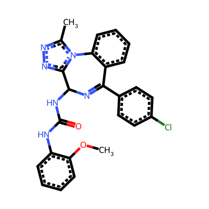 COc1ccccc1NC(=O)NC1N=C(c2ccc(Cl)cc2)c2ccccc2-n2c(C)nnc21